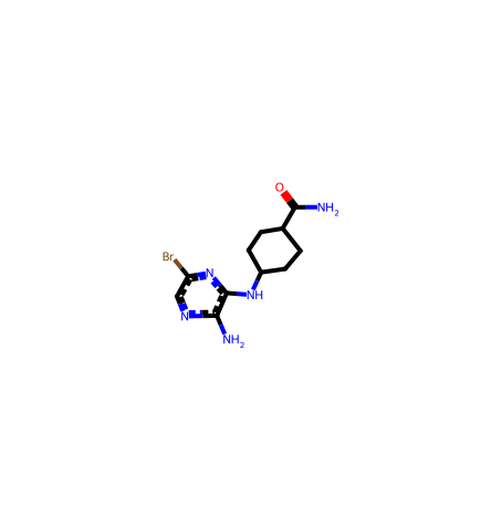 NC(=O)C1CCC(Nc2nc(Br)cnc2N)CC1